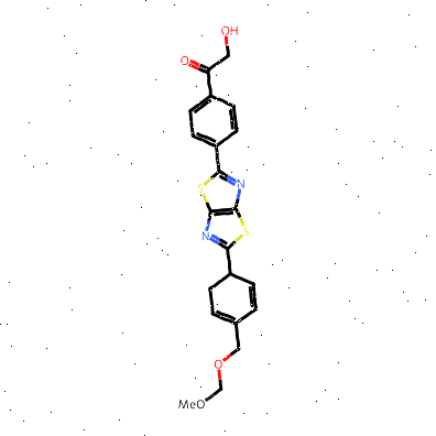 COCOCC1=CCC(c2nc3sc(-c4ccc(C(=O)CO)cc4)nc3s2)C=C1